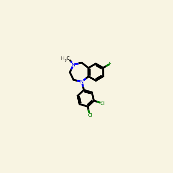 CN1CCN(c2ccc(Cl)c(Cl)c2)c2ccc(F)cc2C1